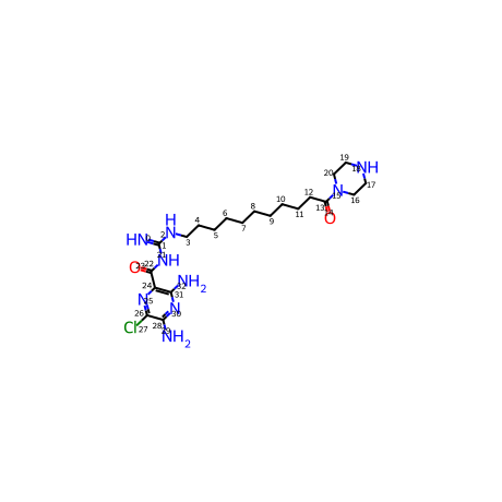 N=C(NCCCCCCCCCCC(=O)N1CCNCC1)NC(=O)c1nc(Cl)c(N)nc1N